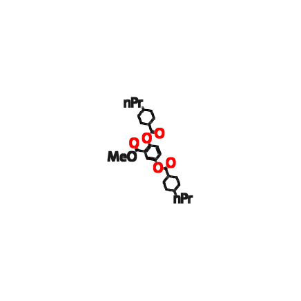 CCCC1CCC(C(=O)Oc2ccc(OC(=O)C3CCC(CCC)CC3)c(C(=O)OC)c2)CC1